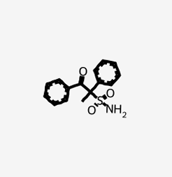 CC(C(=O)c1ccccc1)(c1ccccc1)S(N)(=O)=O